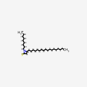 CCCCCCCCCCCCCCCCCCC1CC(=S)N1CCCCCCCCC